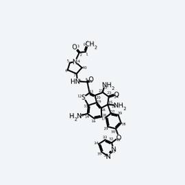 C=CC(=O)N1CCC(NC(=O)c2sc3c(N)ccc4c3c2C(N)C(=O)C4(N)c2ccc(Oc3cccnn3)cc2)C1